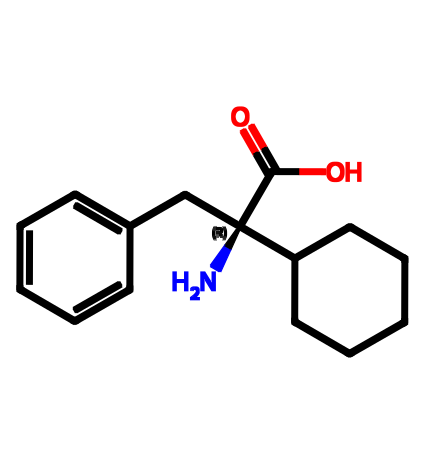 N[C@@](Cc1ccccc1)(C(=O)O)C1CCCCC1